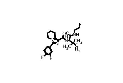 CC(C)(C)[C@H](NC(=O)c1nc(-c2ccc(F)c(F)c2)n2c1CCCC2)C(=O)NCCF